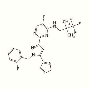 CC(C)(CNc1nc(-c2cc(C3=NCC=C3)n(Cc3ccccc3F)n2)ncc1F)C(F)(F)F